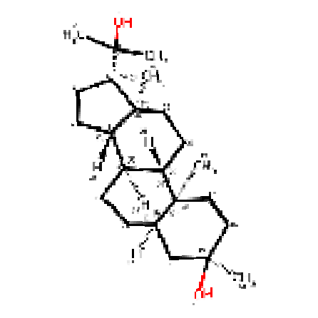 CC(C)(O)[C@H]1CC[C@H]2[C@@H]3CC[C@@H]4C[C@](C)(O)CC[C@]4(C)[C@H]3CC[C@]12C